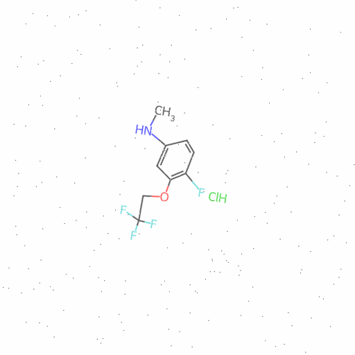 CNc1ccc(F)c(OCC(F)(F)F)c1.Cl